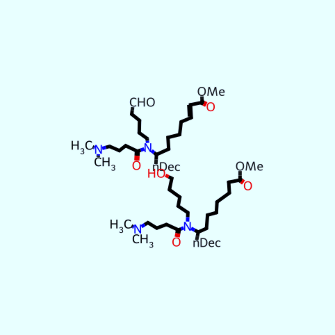 CCCCCCCCCCC(CCCCC=CC(=O)OC)N(CCCCC=O)C(=O)CCCN(C)C.CCCCCCCCCCC(CCCCCCC(=O)OC)N(CCCCCO)C(=O)CCCN(C)C